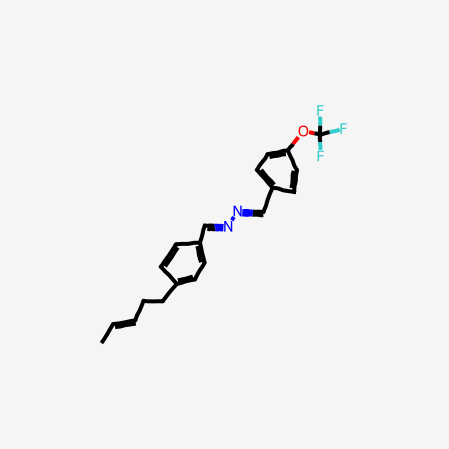 CC=CCCc1ccc(C=NN=Cc2ccc(OC(F)(F)F)cc2)cc1